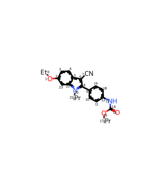 CCOc1ccc2c(C#N)c(-c3ccc(NC(=O)OC(C)C)cc3)n(C(C)C)c2c1